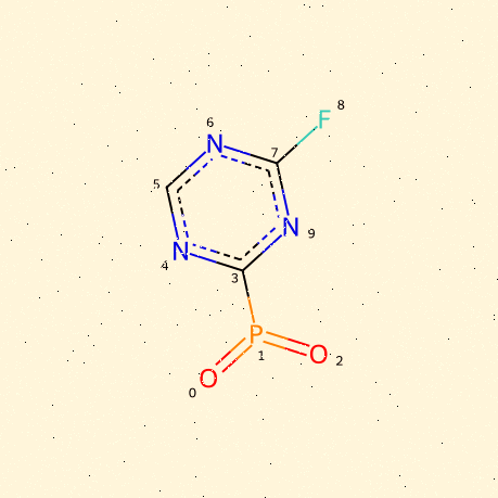 O=P(=O)c1ncnc(F)n1